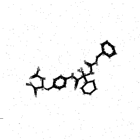 CCC(=O)N[C@H](Cc1ccc(NC(=O)[C@](C)(NC(=O)OCc2ccccc2)C2CCCCC2)cc1)C(=O)OC